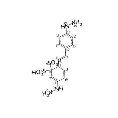 NNC1=CC(S(=O)(=O)O)(S(=O)(=O)O)C(C=Cc2ccc(NN)cc2)C=C1